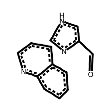 O=Cc1c[nH]cn1.c1ccc2ncccc2c1